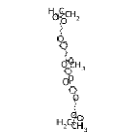 C=C(C)C(=O)OCCCCOc1ccc(/C=C/C(=O)Oc2ccc(OC(=O)c3ccc(OCCCCOC(=O)C(=C)C)cc3)cc2C)cc1